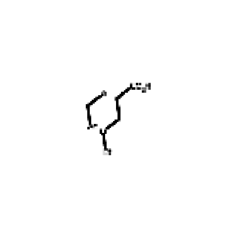 CC(=O)CC(C)=O.CCOCCC(=O)O